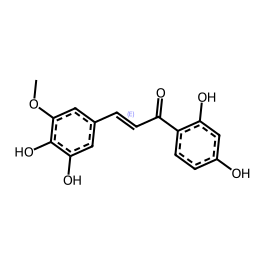 COc1cc(/C=C/C(=O)c2ccc(O)cc2O)cc(O)c1O